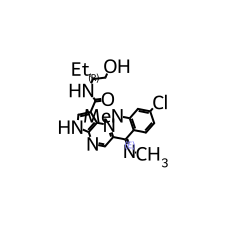 CC[C@H](CO)NC(=O)c1c[nH]c2ncc(/C(=N/C)c3ccc(Cl)cc3NC)nc12